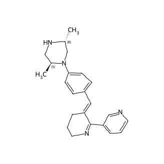 C[C@@H]1CN(c2ccc(C=C3CCCN=C3c3cccnc3)cc2)[C@@H](C)CN1